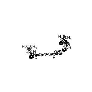 Cc1nc(NC(=O)c2ccccc2NC(=O)CCOCCOCCOCCNC(=O)CN2CCN(c3ccc(Nc4ncc5cc(C(=O)N(C)C)n(C6CCCC6)c5n4)nc3)CC2)sc1C